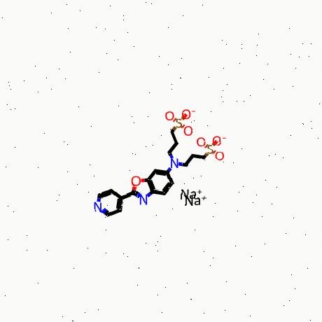 O=S(=O)([O-])CCCN(CCCS(=O)(=O)[O-])c1ccc2nc(-c3ccncc3)oc2c1.[Na+].[Na+]